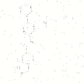 COCCNCc1cc(C(=O)Nc2cc3c(c(C(F)(F)F)c2)CC(=O)N3)ccc1-c1ccccc1